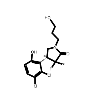 O=C1N(CCCO)C[C@@H](c2c(O)ccc(Cl)c2Cl)C1(F)F